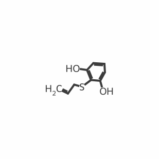 C=CCSc1c(O)cccc1O